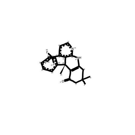 CC1(C)CC(=O)C2=C(C1)Nc1nccc(C(F)(F)F)c1[C@@]2(C)c1ccccc1